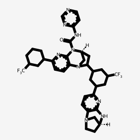 O=C(Nc1ccncn1)N1c2nc(C3CCCC(C(F)(F)F)C3)ccc2N2C[C@@H]1CC2C1CC(c2ccc3c(n2)N[C@H]2CCN3C2)CC(C(F)(F)F)C1